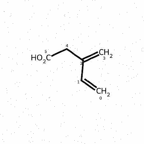 C=CC(=C)CC(=O)O